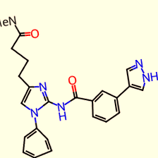 CNC(=O)CCCc1cn(-c2ccccc2)c(NC(=O)c2cccc(-c3cn[nH]c3)c2)n1